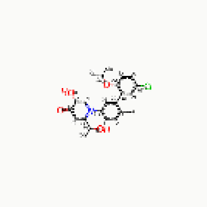 Cc1ccc(-n2cc(O)c(=O)cc2C(C)O)cc1-c1cc(Cl)ccc1OC(C)C